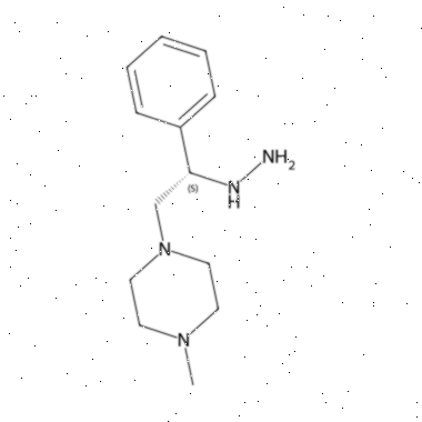 CN1CCN(C[C@@H](NN)c2ccccc2)CC1